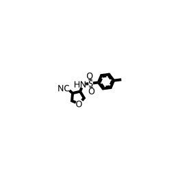 Cc1ccc(S(=O)(=O)NC2COCC2C#N)cc1